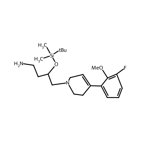 COc1c(F)cccc1C1=CCN(CC(CCN)O[Si](C)(C)C(C)(C)C)CC1